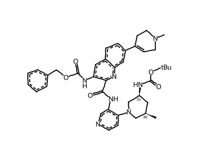 C[C@@H]1C[C@H](NC(=O)OC(C)(C)C)CN(c2ccncc2NC(=O)c2nc3cc(C4=CCN(C)CC4)ccc3cc2NC(=O)OCc2ccccc2)C1